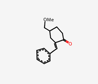 COCC1CCC(=O)C(=Cc2ccccc2)C1